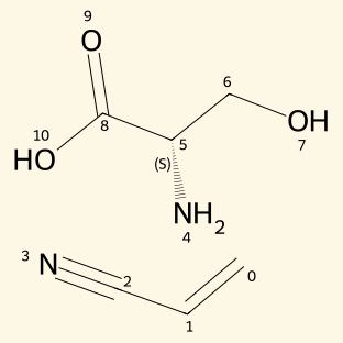 C=CC#N.N[C@@H](CO)C(=O)O